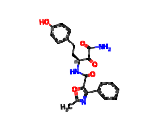 Cc1nc(-c2ccccc2)c(C(=O)N[C@@H](CCc2ccc(O)cc2)C(=O)C(N)=O)o1